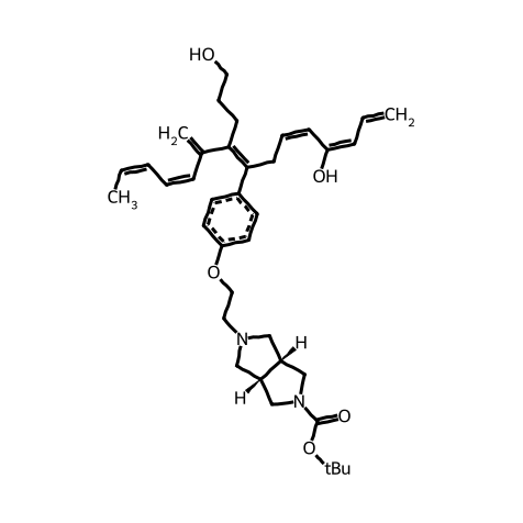 C=C/C=C(O)\C=C/C/C(=C(\CCCO)C(=C)/C=C\C=C/C)c1ccc(OCCN2C[C@@H]3CN(C(=O)OC(C)(C)C)C[C@@H]3C2)cc1